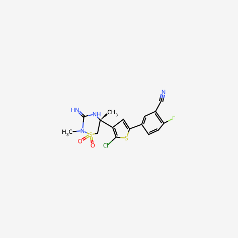 CN1C(=N)N[C@](C)(c2cc(-c3ccc(F)c(C#N)c3)sc2Cl)CS1(=O)=O